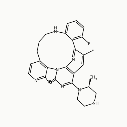 CC(C)c1nccc2c1-n1c(=O)nc(N3CCNC[C@@H]3C)c3cc(F)c(nc31)-c1c(F)cccc1NCCC2